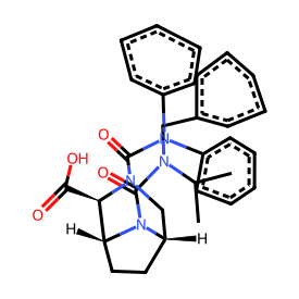 CC(C)N(Cc1ccccc1)C(=O)N1[C@H]2CC[C@@H]1[C@@H](C(=O)O)N(C(=O)N(c1ccccc1)c1ccccc1)C2